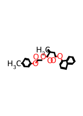 C=C(CC(=O)Oc1cccc2ccccc12)C(=O)OCC(=O)Oc1ccc(C)cc1